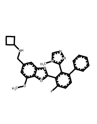 COc1cc(CNC2CCC2)cc2nc(-c3c(F)ccc(-c4ccccc4)c3-c3nncn3C)oc12